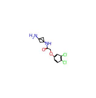 NC12CC(NC(=O)COc3ccc(Cl)c(Cl)c3)(C1)C2